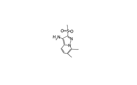 Cc1ccc2c(N)c(S(C)(=O)=O)nn2c1C